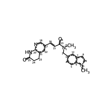 CN(Cc1ccc2c(ccn2C)c1)C(=O)C=Cc1cnc2c(c1)CCC(=O)N2